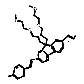 C/C=C/c1ccc2c(c1)C(CCCOCCOC)(CCCOCCOC)c1cc(/C=C/c3ccc(C)cc3)ccc1-2